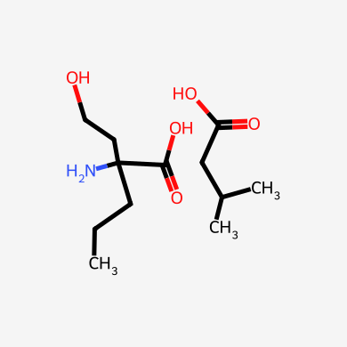 CC(C)CC(=O)O.CCCC(N)(CCO)C(=O)O